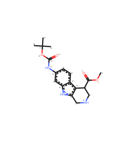 COC(=O)C1CNCc2[nH]c3cc(NC(=O)OC(C)(C)C)ccc3c21